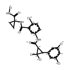 CCNC(=O)C1(NC(=O)c2cc(NC(=O)C3C(c4cc(Cl)cc(Cl)c4)C3(Cl)Cl)ccc2Cl)CC1